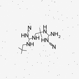 CC(C)(C)CNC(NC#N)NCC(C)(C)NC(N)NC#N